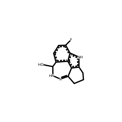 OC1NN=C2CCCc3[nH]c4c(F)ccc1c4c32